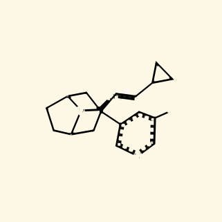 FC(F)(F)CN1C2CCC1CC(/C=C/C1CC1)(c1cncc(Cl)c1)C2